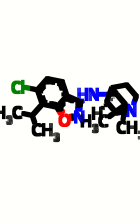 CC(C)c1c(Cl)ccc2c(N[C@H]3C4CCN(CC4)C3(C)C)noc12